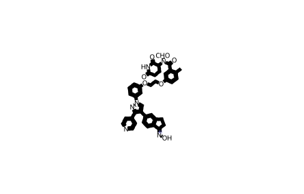 Cc1ccc(OCCOc2cccc(-n3cc(-c4ccc5c(c4)CC/C5=N\O)c(-c4ccncc4)n3)c2)cc1C(=O)N(C=O)C1CCC(=O)NC1=O